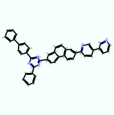 c1ccc(-c2ccc(-c3nc(-c4ccccc4)nc(-c4ccc5c(ccc6cc(-c7ccc(-c8cccnc8)cn7)ccc65)c4)n3)cc2)cc1